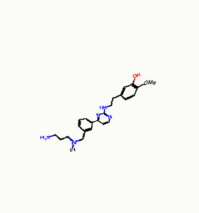 CCN(CCCN)Cc1cccc(-c2ccnc(NCCc3ccc(OC)c(O)c3)n2)c1